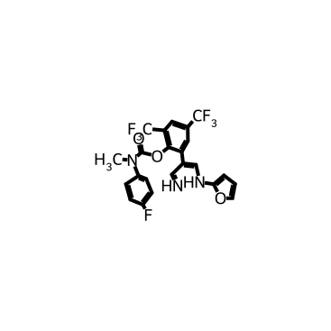 CN(C(=O)Oc1c(/C(C=N)=C/Nc2ccco2)cc(C(F)(F)F)cc1C(F)(F)F)c1ccc(F)cc1